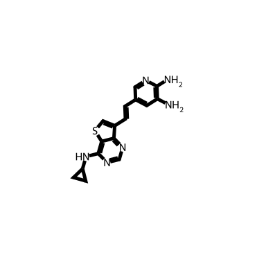 Nc1cc(C=Cc2csc3c(NC4CC4)ncnc23)cnc1N